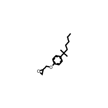 CCCCCC(C)(C)c1ccc(OCC2CO2)cc1